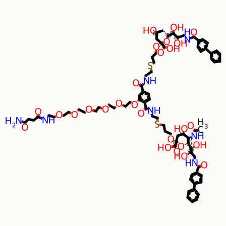 CC(=O)N[C@H]1[C@H]([C@H](O)[C@H](O)CNC(=O)c2ccc(-c3ccccc3)cc2)O[C@@](OCCCSCCNC(=O)c2ccc(C(=O)NCCSCCCO[C@]3(C(=O)O)C[C@H](O)C[C@H]([C@H](O)[C@H](O)CNC(=O)c4ccc(-c5ccccc5)cc4)O3)cc2OCCOCCOCCOCCOCCOCCNC(=O)CCC(N)=O)(C(=O)O)C[C@@H]1O